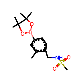 Cc1cc(B2OC(C)(C)C(C)(C)O2)ccc1CNS(C)(=O)=O